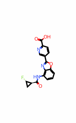 O=C(O)c1ccc(-c2nc3c(NC(=O)[C@H]4C[C@@H]4F)cccc3o2)cn1